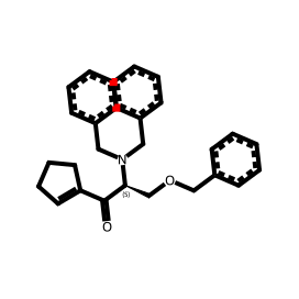 O=C(C1=CCCC1)[C@H](COCc1ccccc1)N(Cc1ccccc1)Cc1ccccc1